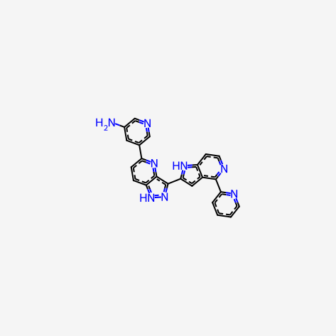 Nc1cncc(-c2ccc3[nH]nc(-c4cc5c(-c6ccccn6)nccc5[nH]4)c3n2)c1